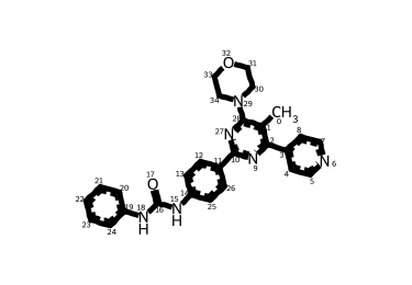 Cc1c(-c2ccncc2)nc(-c2ccc(NC(=O)Nc3ccccc3)cc2)nc1N1CCOCC1